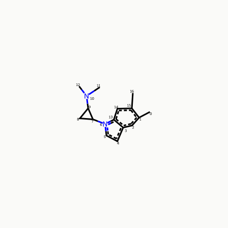 Cc1cc2ccn(C3CC3N(C)C)c2cc1C